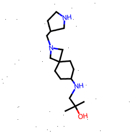 CC(C)(O)CNC1CCC2(CC1)CN(CC1CCNC1)C2